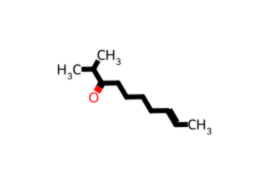 CC=CCCCCC(=O)C(C)C